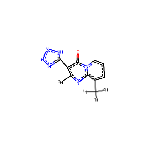 [2H]c1nc2c(C([2H])([2H])[2H])cccn2c(=O)c1-c1nnn[nH]1